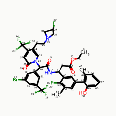 CCOC(=O)C[C@H](NC(=O)C(c1cc(Br)cc(C(F)(F)F)c1)n1cc(CCN2CC(F)C2)c(C(F)(F)F)cc1=O)c1cc(-c2c(C)cccc2O)cc(C)c1F